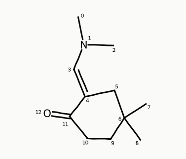 CN(C)C=C1CC(C)(C)CCC1=O